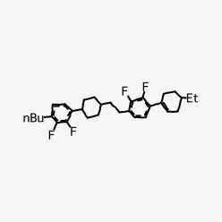 CCCCc1ccc(C2CCC(CCc3ccc(C4=CCC(CC)CC4)c(F)c3F)CC2)c(F)c1F